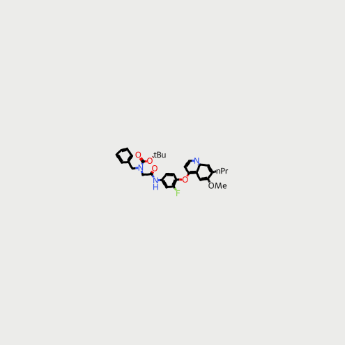 CCCc1cc2nccc(Oc3ccc(NC(=O)CN(Cc4ccccc4)C(=O)OC(C)(C)C)cc3F)c2cc1OC